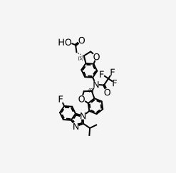 CC(C)c1nc2ccc(F)cc2n1-c1cccc2c1OC[C@H]2N(C(=O)C(F)(F)F)c1ccc2c(c1)OC[C@H]2CC(=O)O